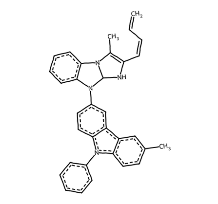 C=C/C=C\C1=C(C)N2c3ccccc3N(c3ccc4c(c3)c3cc(C)ccc3n4-c3ccccc3)C2N1